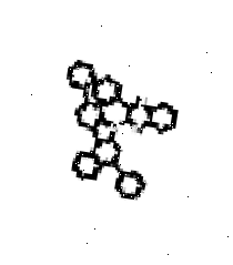 c1ccc(-c2ccc3c4c5ccccc5c(-c5ccccc5)cc4n(-c4nc5ccccc5nc4-c4ccccc4)c3c2)cc1